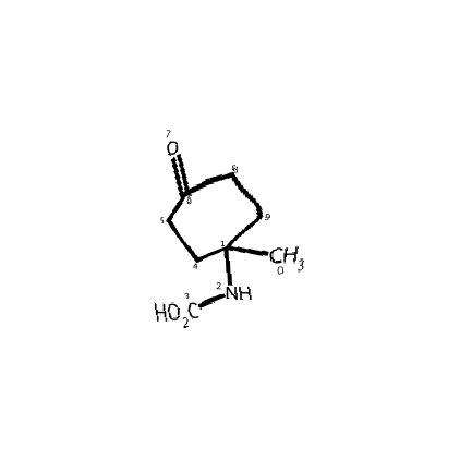 CC1(NC(=O)O)CCC(=O)CC1